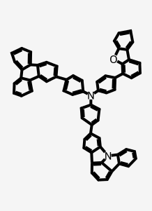 c1ccc2c(c1)oc1c(-c3ccc(N(c4ccc(-c5ccc6c7ccccc7c7ccccc7c6c5)cc4)c4ccc(-c5ccc6c7cccc8c9ccccc9n(c6c5)c87)cc4)cc3)cccc12